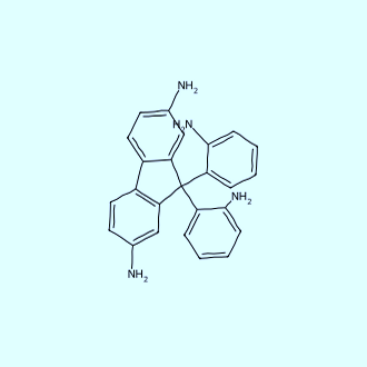 Nc1ccc2c(c1)C(c1ccccc1N)(c1ccccc1N)c1cc(N)ccc1-2